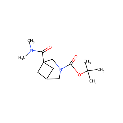 CN(C)C(=O)C12CC(CN(C(=O)OC(C)(C)C)C1)C2